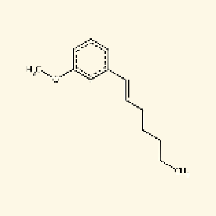 CCCCCC=Cc1[c]c(OC)ccc1